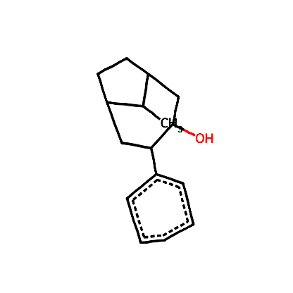 CC1C2CCC1CC(c1ccccc1)C(O)C2